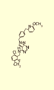 COc1cccc(Cc2ccc(Cn3cc4c(NCc5c(Cl)ccc(C)c5F)ncnc4n3)cc2)n1